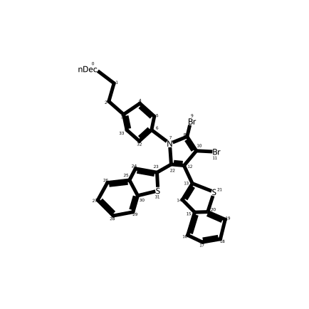 CCCCCCCCCCCCc1ccc(-n2c(Br)c(Br)c(-c3cc4ccccc4s3)c2-c2cc3ccccc3s2)cc1